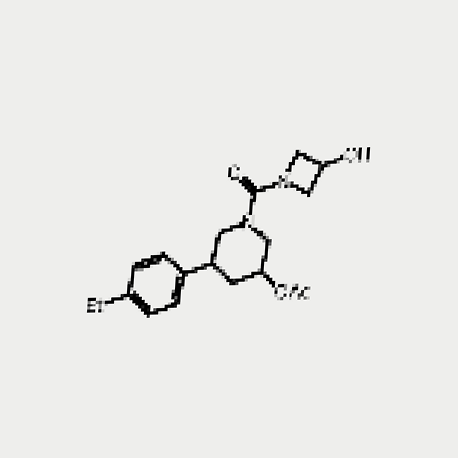 CCc1ccc(C2CC(OC(C)=O)CN(C(=O)N3CC(O)C3)C2)cc1